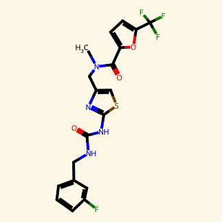 CN(Cc1csc(NC(=O)NCc2cccc(F)c2)n1)C(=O)c1ccc(C(F)(F)F)o1